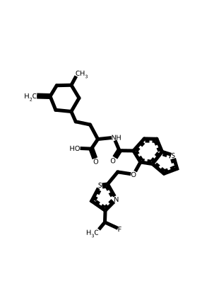 C=C1CC(C)CC(CCC(NC(=O)c2ccc3sccc3c2OCc2nc(C(C)F)cs2)C(=O)O)C1